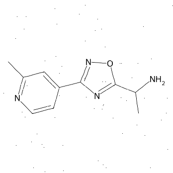 Cc1cc(-c2noc(C(C)N)n2)ccn1